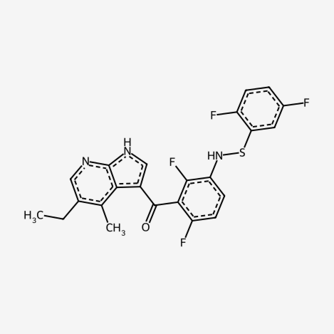 CCc1cnc2[nH]cc(C(=O)c3c(F)ccc(NSc4cc(F)ccc4F)c3F)c2c1C